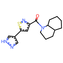 O=C(c1cc(-c2cn[nH]c2)sn1)N1CCCC2CCCCC21